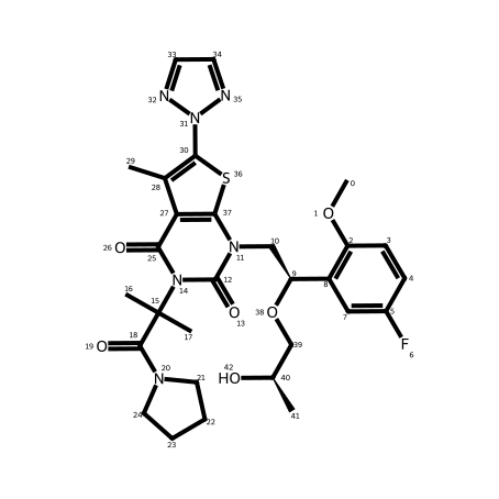 COc1ccc(F)cc1[C@H](Cn1c(=O)n(C(C)(C)C(=O)N2CCCC2)c(=O)c2c(C)c(-n3nccn3)sc21)OC[C@@H](C)O